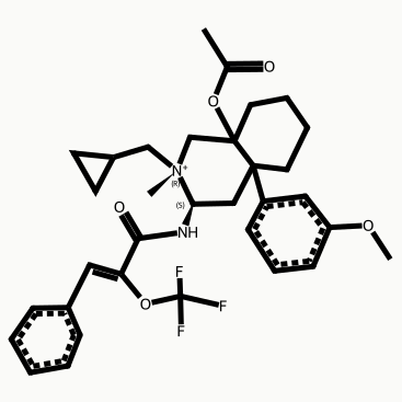 COc1cccc(C23CCCCC2(OC(C)=O)C[N@@+](C)(CC2CC2)[C@H](NC(=O)C(=Cc2ccccc2)OC(F)(F)F)C3)c1